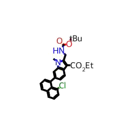 CCOC(=O)c1c(CNC(=O)OC(C)(C)C)n(C)c2cc(-c3cccc4cccc(Cl)c34)ccc12